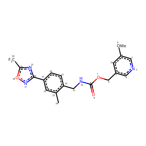 COc1cncc(COC(=O)NCc2ccc(-c3noc(C(F)(F)F)n3)cc2C)c1